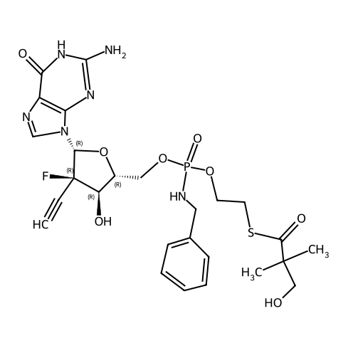 C#C[C@@]1(F)[C@H](O)[C@@H](COP(=O)(NCc2ccccc2)OCCSC(=O)C(C)(C)CO)O[C@H]1n1cnc2c(=O)[nH]c(N)nc21